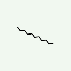 CCC[CH]CCC=CCCC